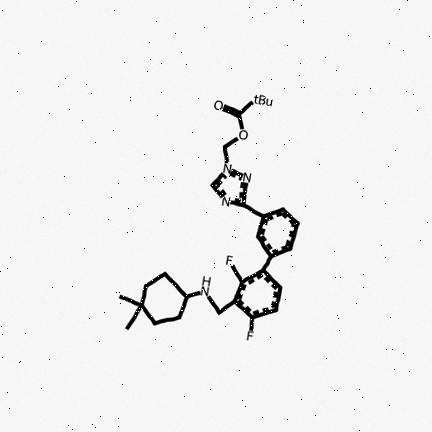 CC1(C)CCC(NCc2c(F)ccc(-c3cccc(-c4ncn(COC(=O)C(C)(C)C)n4)c3)c2F)CC1